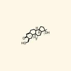 C[C@]12C/C(=C/O)C(=O)C=C1CC[C@@H]1[C@@H]2[C@@H](F)C[C@@]2(C)[C@H]1CC[C@]2(C)O